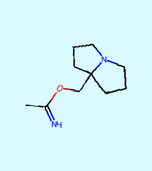 CC(=N)OCC12CCCN1CCC2